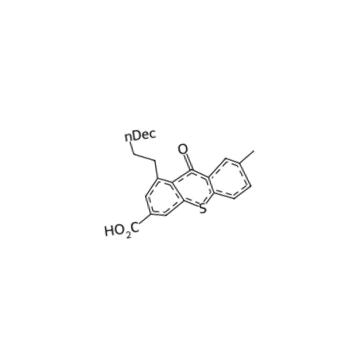 CCCCCCCCCCCCc1cc(C(=O)O)cc2sc3ccc(C)cc3c(=O)c12